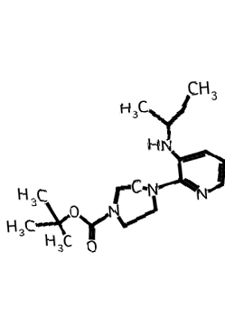 CCC(C)Nc1cccnc1N1CCN(C(=O)OC(C)(C)C)CC1